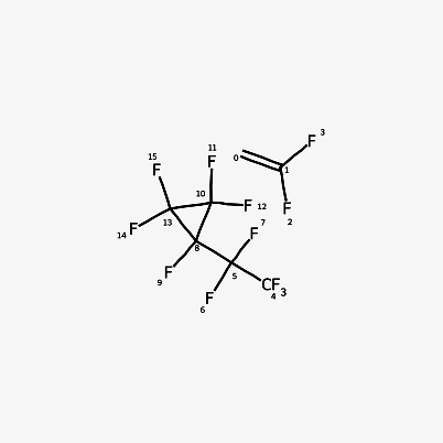 C=C(F)F.FC(F)(F)C(F)(F)C1(F)C(F)(F)C1(F)F